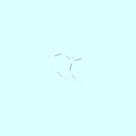 CO[SiH](C)OC.CS